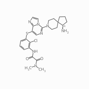 CN(C)C(=O)C(=O)Nc1cccc(Sc2cnc(N3CCC4(CCC[C@H]4N)CC3)n3ccnc23)c1Cl